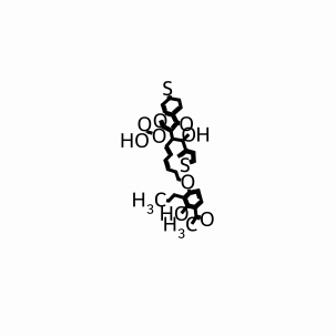 CCCc1c(OCC/C=C\C=C\C(c2c(OC(=O)O)oc3c(c2=O)=CCC(=S)C=3)C(O)c2ccsc2)ccc(C(C)=O)c1O